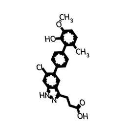 COc1ccc(C)c(-c2ccc(-c3cc4c(CCC(=O)O)n[nH]c4cc3Cl)cc2)c1O